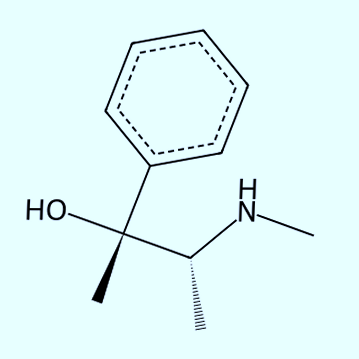 CN[C@H](C)[C@](C)(O)c1ccccc1